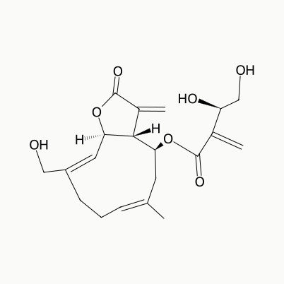 C=C1C(=O)O[C@@H]2/C=C(\CO)CC/C=C(\C)C[C@H](OC(=O)C(=C)[C@@H](O)CO)[C@@H]12